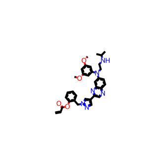 C=CC(=O)Oc1ccccc1Cn1cc(-c2cnc3ccc(N(CCNC(C)C)c4cc(OC)cc(OC)c4)cc3n2)cn1